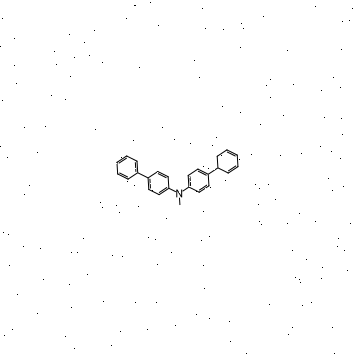 CN(c1ccc(-c2ccccc2)cc1)c1ccc(C2C=CC=CC2)cc1